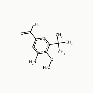 COc1c(N)cc(C(C)=O)cc1C(C)(C)C